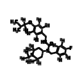 [2H]c1c([2H])c(CN(C(=O)NCc2c([2H])c([2H])c(OC([2H])([2H])C(C)C)c([2H])c2[2H])C2CC([2H])([2H])N(C([2H])([2H])[2H])C([2H])([2H])C2)c([2H])c([2H])c1F